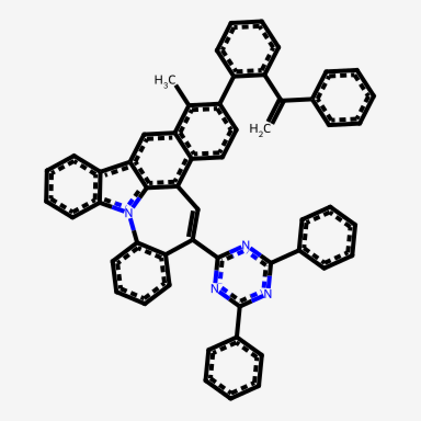 C=C(c1ccccc1)c1ccccc1-c1ccc2c3c4c(cc2c1C)c1ccccc1n4-c1ccccc1C(c1nc(-c2ccccc2)nc(-c2ccccc2)n1)=C3